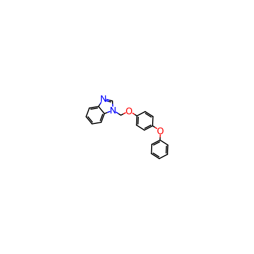 c1ccc(Oc2ccc(OCn3cnc4ccccc43)cc2)cc1